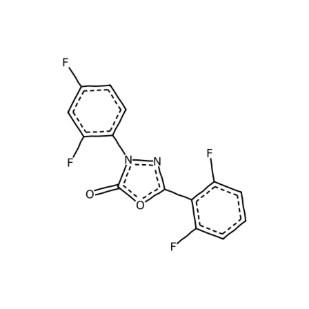 O=c1oc(-c2c(F)cccc2F)nn1-c1ccc(F)cc1F